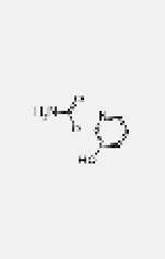 NC(=O)Oc1ncccc1O